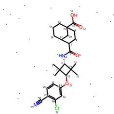 CC1(C)[C@H](NC(=O)C2CCC3(C(=O)O)CCCC2C3)C(C)(C)[C@H]1Oc1ccc(C#N)c(Cl)c1